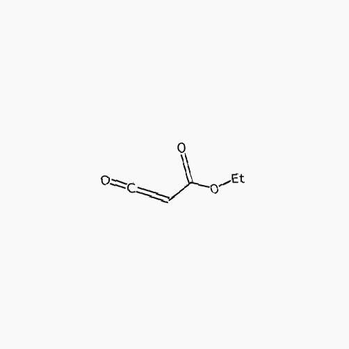 CCOC(=O)C=C=O